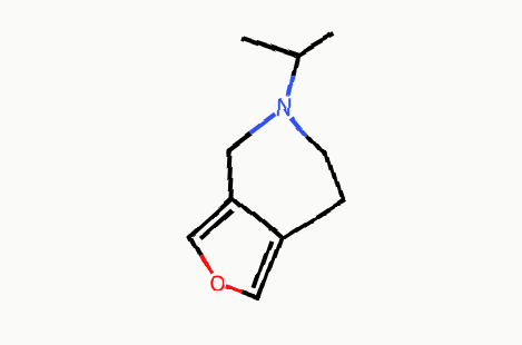 CC(C)N1CCc2cocc2C1